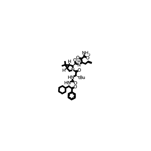 C=CCC(NC(=O)[C@@H]1[C@@H]2[C@H](CN1C(=O)[C@@H](NC(=O)N[C@H](C(=O)c1ccccc1)C1CCCCC1)C(C)(C)C)C2(C)C)C(=O)C(N)=O